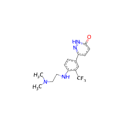 CN(C)CCNc1ccc(-c2ccc(=O)[nH]n2)cc1C(F)(F)F